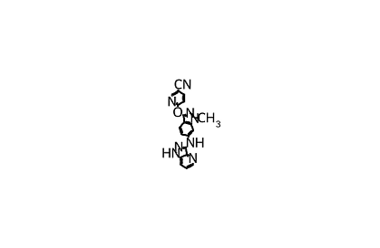 Cn1nc(Oc2ccc(C#N)cn2)c2ccc(Nc3n[nH]c4cccnc34)cc21